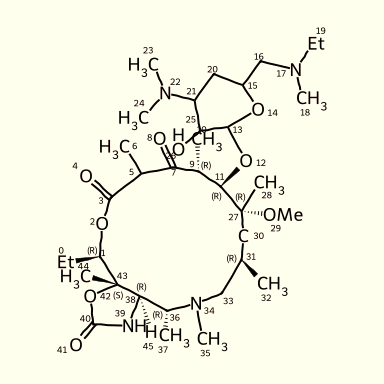 CC[C@H]1OC(=O)C(C)C(=O)[C@H](C)[C@@H](OC2OC(CN(C)CC)CC(N(C)C)C2O)[C@](C)(OC)C[C@@H](C)CN(C)[C@H](C)[C@H]2NC(=O)O[C@@]21C